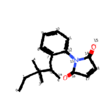 CCC(C)(C)C(C)c1ccccc1N1C(=O)C=CC1=O